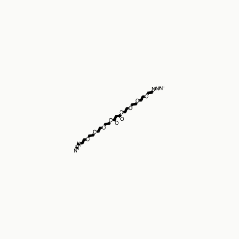 [N-]=[N+]=NCCOCCOCCOCCOC(=O)CC(=O)OCCOCCOCCOCCN=[N+]=[N-]